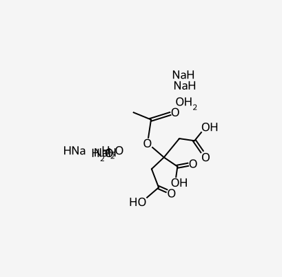 CC(=O)OC(CC(=O)O)(CC(=O)O)C(=O)O.O.O.O.[NaH].[NaH].[NaH].[NaH]